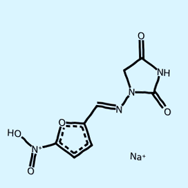 O=C1CN(N=Cc2ccc([N+](=O)O)o2)C(=O)N1.[Na+]